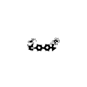 CS(=O)(=O)NC(=O)C1(c2ccc(-c3ccc(-n4ncc(F)c4OC(N)=O)cc3)cc2)CC1